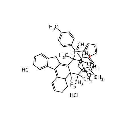 Cl.Cl.[CH2]=[Hf]([C]1=CC=CC1)([c]1ccc(C)cc1)([c]1ccc(C)cc1)[C]1(C)C2=C3Cc4ccccc4C3=C3C=CCCC3C2(C)C(C)(C)C(C)(C)C1(C)C